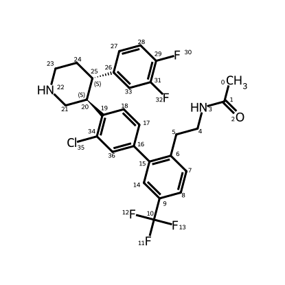 CC(=O)NCCc1ccc(C(F)(F)F)cc1-c1ccc([C@H]2CNCC[C@@H]2c2ccc(F)c(F)c2)c(Cl)c1